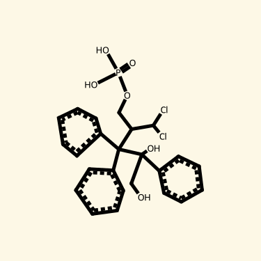 O=P(O)(O)OCC(C(Cl)Cl)C(c1ccccc1)(c1ccccc1)C(O)(CO)c1ccccc1